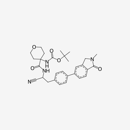 CN1Cc2cc(-c3ccc(CC(C#N)NC(=O)C4(NC(=O)OC(C)(C)C)CCOCC4)cc3)ccc2C1=O